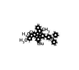 Cc1ccc2c(c1)C(C)(C)c1cc3c(cc1-2)C(c1ccc(-c2ccc(N(c4ccccc4)c4ccccc4)cc2)cc1)(c1ccc(C(C)(C)C)cc1)c1cc(C)c2ccccc2c1-3